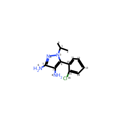 CC(C)n1nc(N)c(N)c1-c1ccccc1Cl